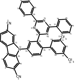 N#Cc1ccc2c3ccc(C#N)cc3n(-c3ccc(-c4cc(C(F)(F)F)cc(C(F)(F)F)c4)c(-c4nc(-c5ccccc5)nc(-c5ccccc5)n4)c3)c2c1